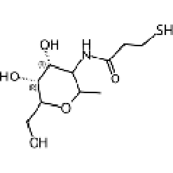 CC1OC(CO)[C@H](O)[C@H](O)C1NC(=O)CCS